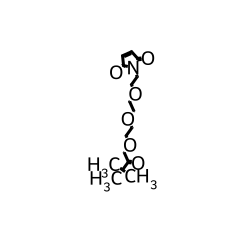 CC(C)(C)C(=O)COCCOCCOCCN1C(=O)C=CC1=O